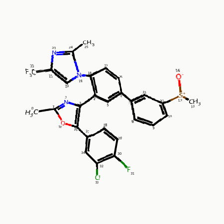 Cc1nc(-c2cc(-c3cccc([S+](C)[O-])c3)ccc2-n2cc(C(F)(F)F)nc2C)c(-c2ccc(F)c(Cl)c2)o1